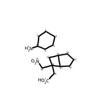 NC1CCCCC1.O=C(O)CC1(C[N+](=O)[O-])CC2CCCC21